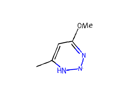 COC1=N[N]NC(C)=C1